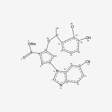 COC(=O)c1sc(-n2cnc3ccc(C#N)cc32)cc1OC(C)c1cccc(O)c1Cl